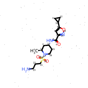 C[C@H]1C[C@H](NC(=O)c2cc(C3CC3)on2)CCN1S(=O)(=O)CCCN